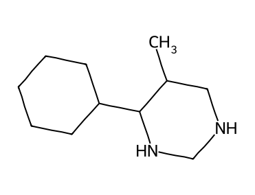 CC1CNCNC1C1CCCCC1